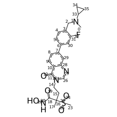 CN(Cc1ccc(-c2ccc3c(=O)n(CCC(C)(C(=O)NO)S(C)(=O)=O)cnc3c2)cc1F)C1CC1